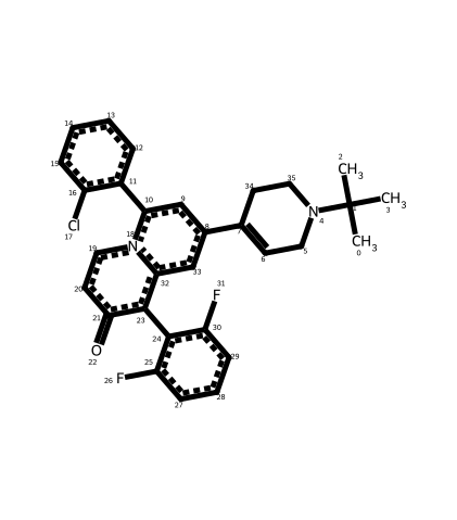 CC(C)(C)N1CC=C(c2cc(-c3ccccc3Cl)n3ccc(=O)c(-c4c(F)cccc4F)c3c2)CC1